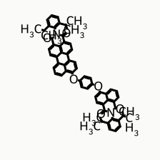 CC(C)c1cccc(C(C)C)c1N1C(=O)c2cccc3c(Oc4ccc(Oc5ccc6c7ccc8c9c(ccc(c%10cccc5c%106)c97)C(=O)N(c5c(C(C)C)cccc5C(C)C)C8=O)cc4)ccc(c23)C1=O